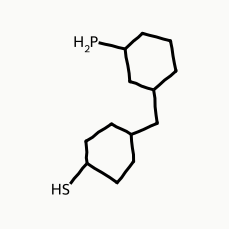 PC1CCCC(CC2CCC(S)CC2)C1